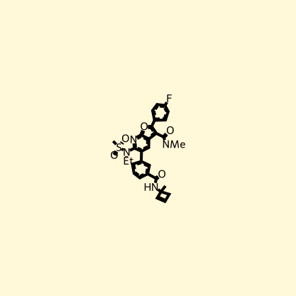 CCN(c1nc2oc(-c3ccc(F)cc3)c(C(=O)NC)c2cc1-c1cccc(C(=O)NC2(C)C=CC2)c1)S(C)(=O)=O